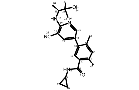 Cc1cc(F)c(C(=O)NC2CC2)cc1-c1cnc(N[C@@H](C)C(C)(C)O)c(C#N)c1